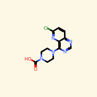 O=C(O)N1CCN(c2ncnc3ccc(Cl)nc23)CC1